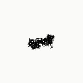 CC1(C)c2cc3c(cc2-c2c1cc(N(C1=CCCC=C1)C1CC=CC4=CC=CCC41)c1ccccc21)C(C)(C)C1CC(N(c2ccccc2)c2cccc4ccccc24)=CC=C31